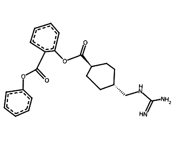 N=C(N)NC[C@H]1CC[C@H](C(=O)Oc2ccccc2C(=O)Oc2ccccc2)CC1